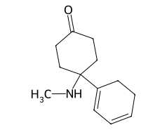 CNC1(C2=CC=CCC2)CCC(=O)CC1